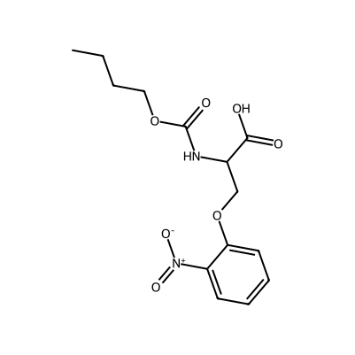 CCCCOC(=O)NC(COc1ccccc1[N+](=O)[O-])C(=O)O